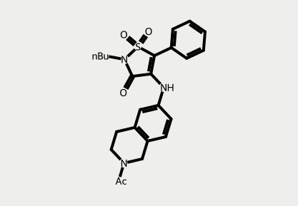 CCCCN1C(=O)C(Nc2ccc3c(c2)CCN(C(C)=O)C3)=C(c2ccccc2)S1(=O)=O